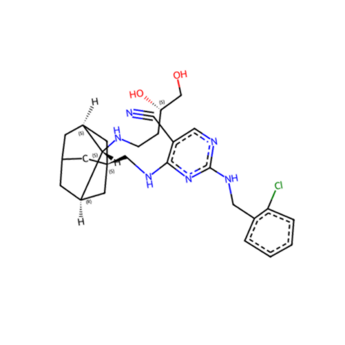 N#Cc1cnc(NCc2ccccc2Cl)nc1NC[C@]12CC3C[C@H](C1)[C@@H](NCC[C@H](O)CO)[C@@H](C3)C2